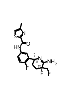 Cc1csc(C(=O)Nc2ccc(F)c([C@]3(C)CC[C@@](F)(CF)C(N)=N3)c2)n1